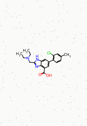 CCN(CC)Cc1nc2c(C(=O)O)cc(-c3ccc(C)cc3Cl)cc2[nH]1